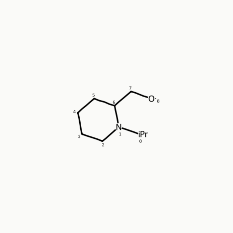 CC(C)N1CCCCC1C[O]